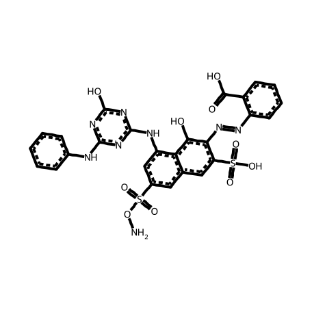 NOS(=O)(=O)c1cc(Nc2nc(O)nc(Nc3ccccc3)n2)c2c(O)c(N=Nc3ccccc3C(=O)O)c(S(=O)(=O)O)cc2c1